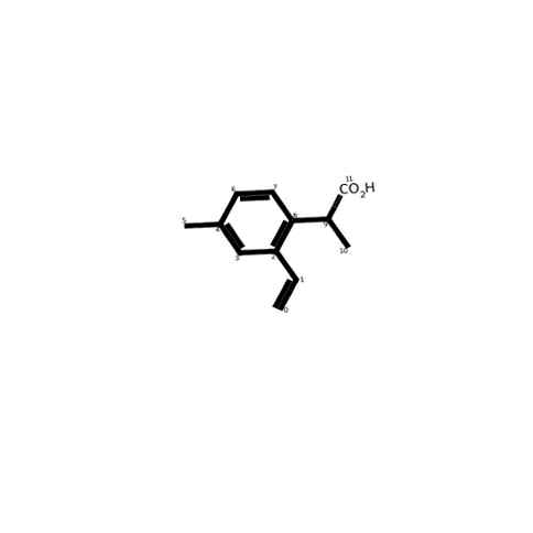 C=Cc1cc(C)ccc1C(C)C(=O)O